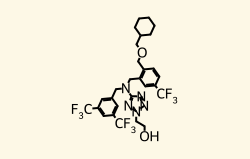 OCCn1nnc(N(Cc2cc(C(F)(F)F)cc(C(F)(F)F)c2)Cc2cc(C(F)(F)F)ccc2COCC2CCCCC2)n1